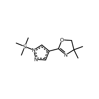 CC1(C)COC(c2cnn([Si](C)(C)C)c2)=N1